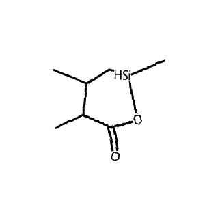 CC1C[SiH](C)OC(=O)C1C